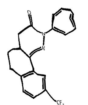 O=C1CC2CCc3ccc(C(F)(F)F)cc3C2=NN1c1ccccc1